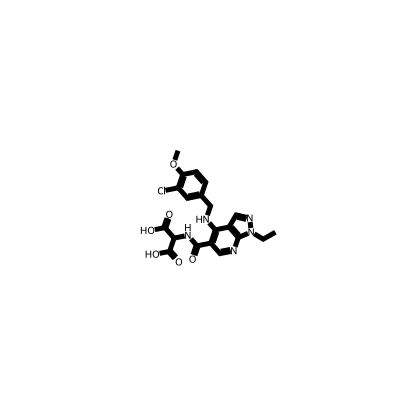 CCn1ncc2c(NCc3ccc(OC)c(Cl)c3)c(C(=O)NC(C(=O)O)C(=O)O)cnc21